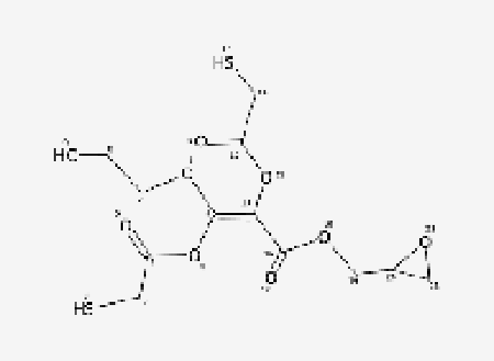 O=C(CS)OC(OCCO)=C(OC(=O)CS)C(=O)OCC1CO1